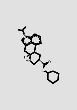 CC(C)n1cc2c3c(cccc31)C1C[C@@H](C(=O)OC3CCCCC3)CN[C@@H]1C2